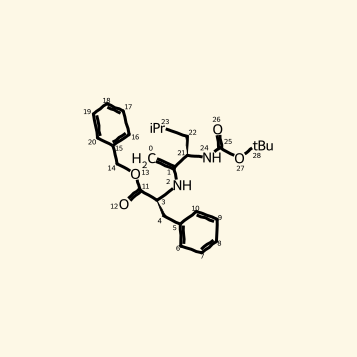 C=C(N[C@@H](Cc1ccccc1)C(=O)OCc1ccccc1)[C@@H](CC(C)C)NC(=O)OC(C)(C)C